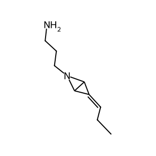 CCC=C1C2C1N2CCCN